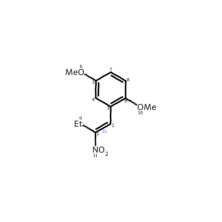 CC/C(=C\c1cc(OC)ccc1OC)[N+](=O)[O-]